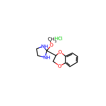 COC1(C2COc3ccccc3O2)NCCN1.Cl